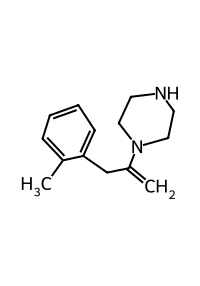 C=C(Cc1ccccc1C)N1CCNCC1